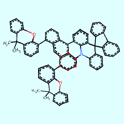 CC1(C)c2ccccc2Oc2c(-c3cccc4c(-c5cccc6c5N(c5ccccc5)c5ccccc5C65c6ccccc6-c6ccccc65)c5cccc(-c6cccc7c6Oc6ccccc6C7(C)C)c5cc34)cccc21